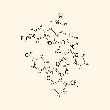 O=C(OC(C(=O)N1CCCC1)[C@H](OC(=O)[C@H](Oc1cccc(C(F)(F)F)c1)c1ccc(Cl)cc1)C(=O)N1CCCC1)C(Oc1cccc(C(F)(F)F)c1)c1ccc(Cl)cc1